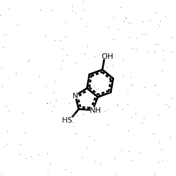 Oc1ccc2[nH]c(S)nc2c1